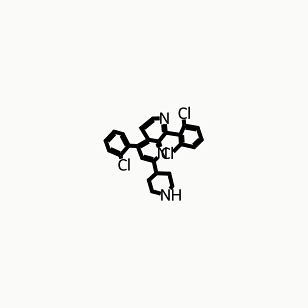 Clc1ccccc1-c1cc(C2CCNCC2)nc2c(-c3c(Cl)cccc3Cl)nccc12